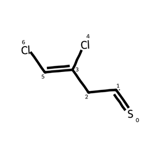 S=[C]CC(Cl)=CCl